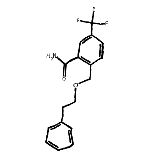 NC(=O)c1cc(C(F)(F)F)ccc1COC[CH]c1ccccc1